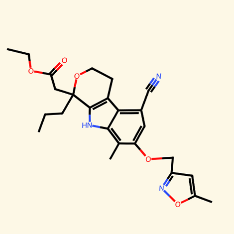 CCCC1(CC(=O)OCC)OCCc2c1[nH]c1c(C)c(OCc3cc(C)on3)cc(C#N)c21